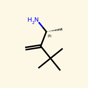 C=C([C@@H](C)N)C(C)(C)C